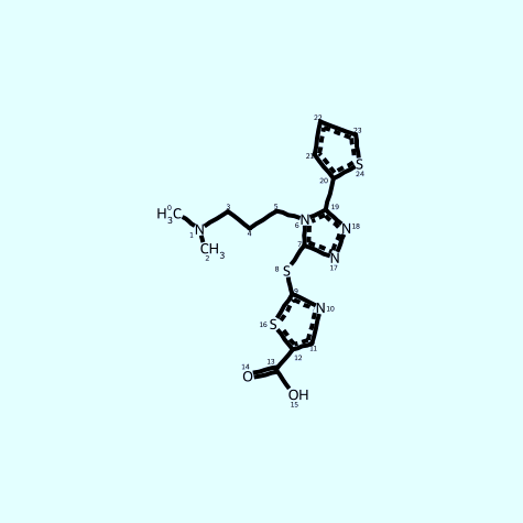 CN(C)CCCn1c(Sc2ncc(C(=O)O)s2)nnc1-c1cccs1